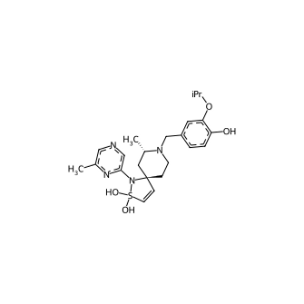 Cc1cncc(N2[C@]3(C=CS2(O)O)CCN(Cc2ccc(O)c(OC(C)C)c2)[C@@H](C)C3)n1